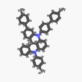 CC(C)c1ccc(-c2ccc(N3c4cc(-c5ccc(C(C)C)cc5)ccc4B4c5ccccc5N(c5ccc(C(C)C)cc5)c5cccc3c54)cc2)cc1